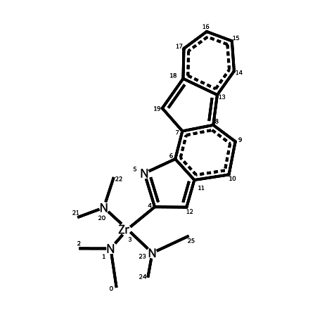 C[N](C)[Zr]([C]1=Nc2c3c(ccc2=C1)=c1ccccc1=C3)([N](C)C)[N](C)C